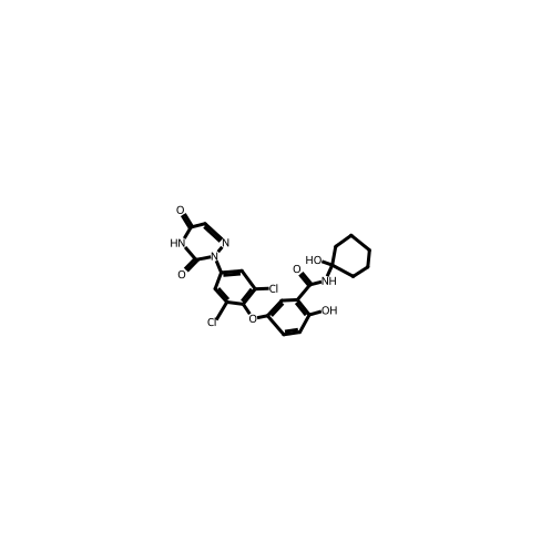 O=C(NC1(O)CCCCC1)c1cc(Oc2c(Cl)cc(-n3ncc(=O)[nH]c3=O)cc2Cl)ccc1O